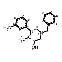 CO[C@@H](CN(CCO)Cc1ccccc1)c1cccc(N)c1